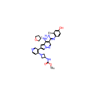 CCc1cc(O)ccc1/N=C(\N)c1cnn2cc(-c3cnccc3N3CC(NC(=O)OC(C)(C)C)C3)cc2c1N[C@H]1CCOC1